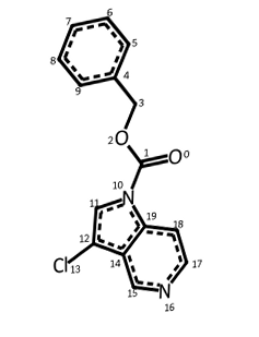 O=C(OCc1ccccc1)n1cc(Cl)c2cnccc21